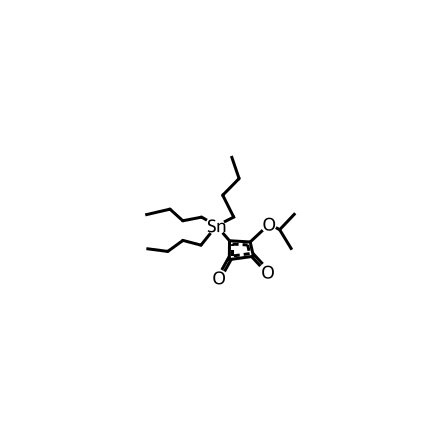 CCC[CH2][Sn]([CH2]CCC)([CH2]CCC)[c]1c(OC(C)C)c(=O)c1=O